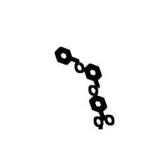 COC(=O)c1ccc(OCc2cccc(OCc3ccccc3)c2)cc1